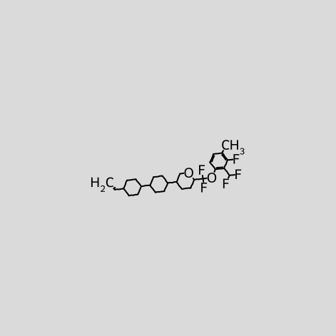 C=CC1CCC(C2CCC(C3CCC(C(F)(F)Oc4ccc(C)c(F)c4C(F)F)OC3)CC2)CC1